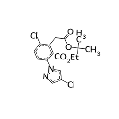 CCOC(=O)C(C)(C)OC(=O)Cc1cc(-n2cc(Cl)cn2)ccc1Cl